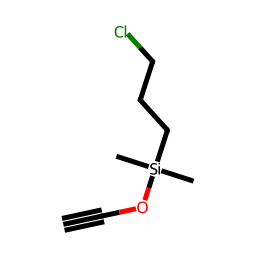 C#CO[Si](C)(C)CCCCl